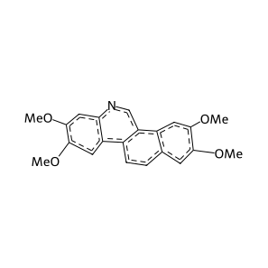 COc1cc2ccc3c4cc(OC)c(OC)cc4ncc3c2cc1OC